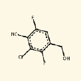 N#Cc1c(F)cc(CO)c(F)c1Cl